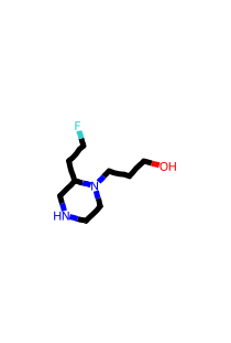 OCCCN1CCNCC1CCF